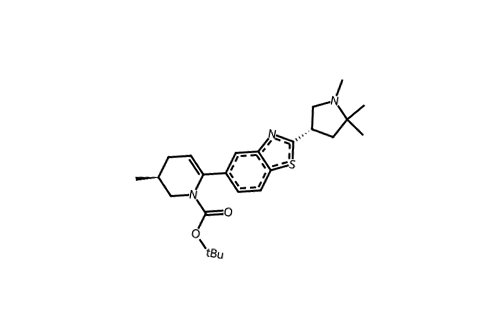 C[C@H]1CC=C(c2ccc3sc([C@@H]4CN(C)C(C)(C)C4)nc3c2)N(C(=O)OC(C)(C)C)C1